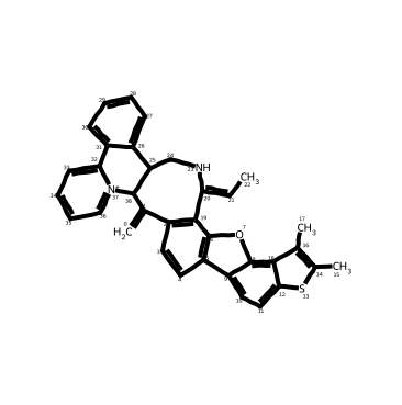 C=C1c2ccc3c(oc4c3ccc3sc(C)c(C)c34)c2/C(=C/C)NCC2c3ccccc3-c3cccc[n+]3C12